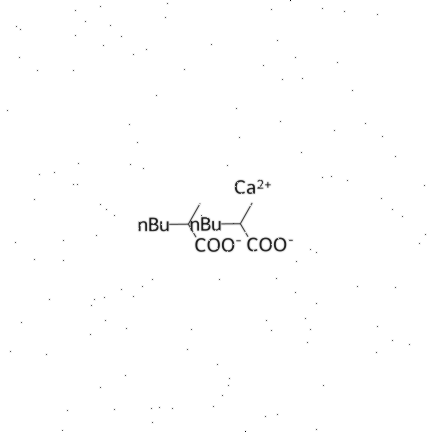 CCCCC(C)C(=O)[O-].CCCCC(C)C(=O)[O-].[Ca+2]